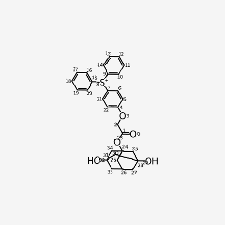 O=C(COc1ccc([S+](c2ccccc2)c2ccccc2)cc1)OC12CC3CC(O)(CC(O)(C3)C1)C2